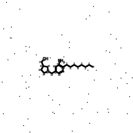 CCCCCCCCc1ccc(CN2CCC(CO)C2)cc1N